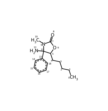 CCCCCC1OC(=O)N(C)C1(N)c1ccccc1